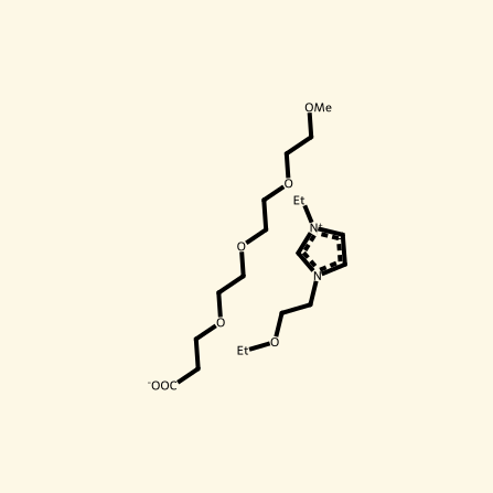 CCOCCn1cc[n+](CC)c1.COCCOCCOCCOCCC(=O)[O-]